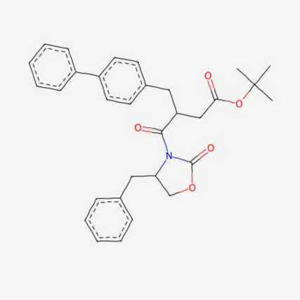 CC(C)(C)OC(=O)CC(Cc1ccc(-c2ccccc2)cc1)C(=O)N1C(=O)OCC1Cc1ccccc1